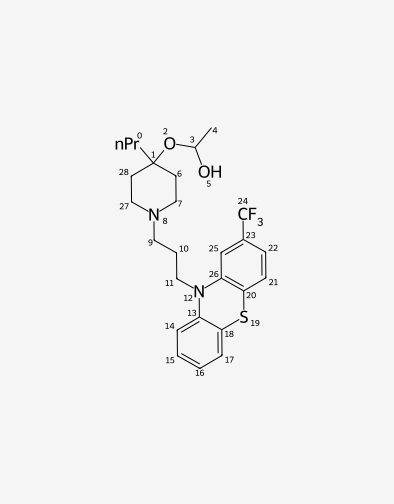 CCCC1(OC(C)O)CCN(CCCN2c3ccccc3Sc3ccc(C(F)(F)F)cc32)CC1